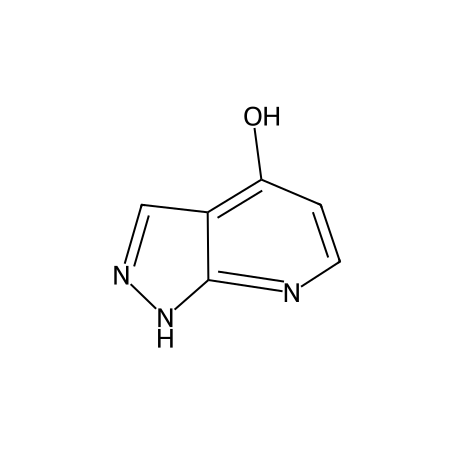 Oc1ccnc2[nH]ncc12